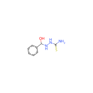 NC(=S)NNC(O)c1ccccc1